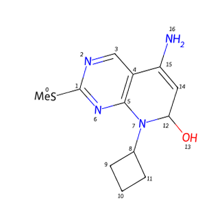 CSc1ncc2c(n1)N(C1CCC1)C(O)C=C2N